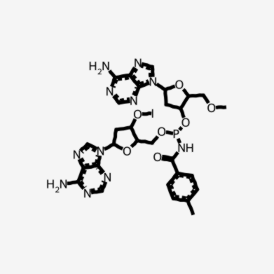 COCC1OC(n2cnc3c(N)ncnc32)CC1OP(NC(=O)c1ccc(C)cc1)OCC1OC(n2cnc3c(N)ncnc32)CC1OI